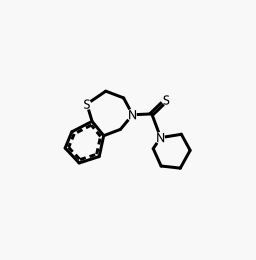 S=C(N1CCCCC1)N1CCSc2ccccc2C1